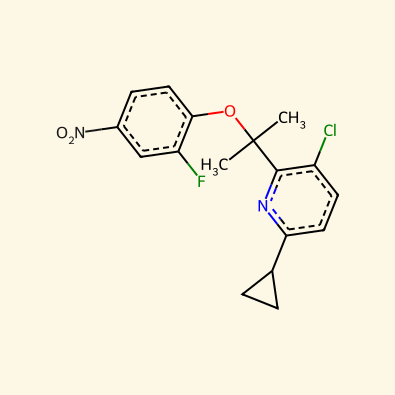 CC(C)(Oc1ccc([N+](=O)[O-])cc1F)c1nc(C2CC2)ccc1Cl